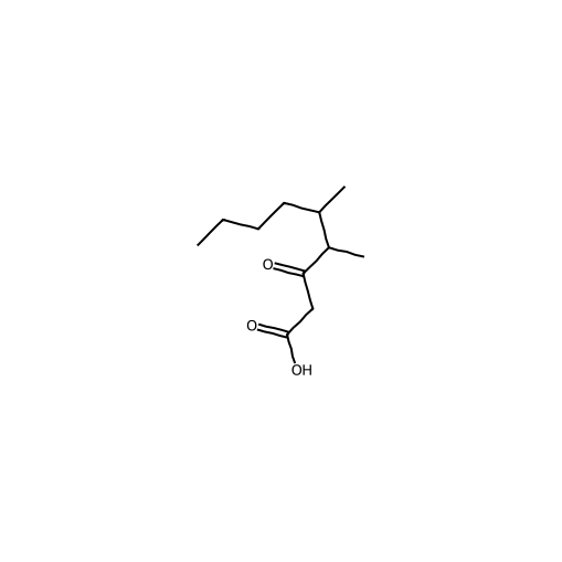 CCCCC(C)C(C)C(=O)CC(=O)O